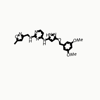 COc1cc(COc2cc(Nc3ccnc(NCc4cc(C)on4)n3)[nH]n2)cc(OC)c1